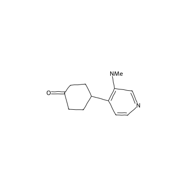 CNc1cnccc1C1CCC(=O)CC1